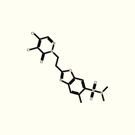 Cc1cc2nc(CCn3ncc(Cl)c(Cl)c3=O)oc2cc1S(=O)(=O)N(C)C